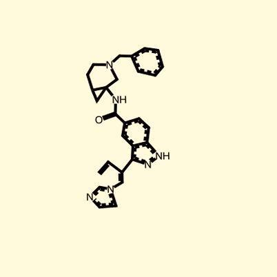 C=C/C(=C\n1ccnc1)c1n[nH]c2ccc(C(=O)NC34CC3CCN(Cc3ccccc3)C4)cc12